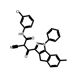 Cc1ccc2c(c1)-c1c(c(C(=O)C(C#N)C(=O)Nc3cccc(Cl)c3)nn1-c1ccccc1)C2